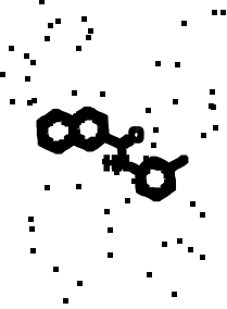 Cc1cccc(NC(=O)c2ccc3ccccc3c2)c1